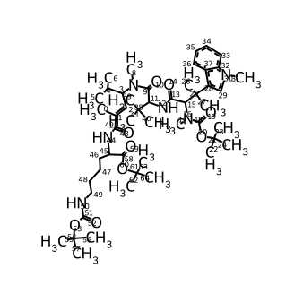 C/C(=C\C(C(C)C)N(C)C(=O)C(NC(=O)C(N(C)C(=O)OC(C)(C)C)C(C)(C)c1cn(C)c2ccccc12)C(C)(C)C)C(=O)NC(CCCCNC(=O)OC(C)(C)C)C(=O)OC(C)(C)C